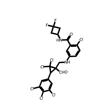 O=CC1(CNc2ccc(Cl)c(C(=O)NC3CC(F)(F)C3)c2)C(c2cc(Cl)c(Cl)c(Cl)c2)C1(Cl)Cl